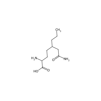 CCCC(CCC(N)C(=O)O)CC(N)=O